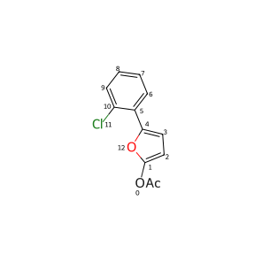 CC(=O)Oc1ccc(-c2ccccc2Cl)o1